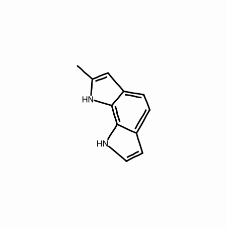 Cc1cc2ccc3cc[nH]c3c2[nH]1